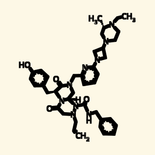 C=CCN1CC(=O)N2[C@@H](Cc3ccc(O)cc3)C(=O)N(Cc3cccc(N4CC(N5CCN(CC)[C@@H](C)C5)C4)n3)C[C@@H]2N1C(=O)NCc1ccccc1